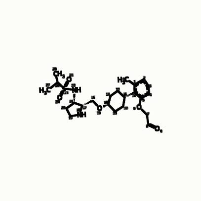 Cc1cccc(OCC=O)c1[C@H]1CC[C@@H](OC[C@@H]2NCC[C@@H]2NS(=O)(=O)C(C)C)CC1